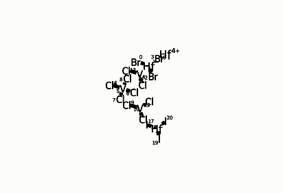 [Br][Hf]([Br])[Br].[Cl][V]([Cl])([Cl])[Cl].[Cl][V]([Cl])[Cl].[Cl][V][Cl].[Hf+4].[I][Hf]([I])[I]